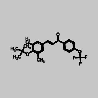 Cc1cc(C=CC(=O)c2ccc(OC(F)(F)F)cc2)cc(C)c1OC(C)(C)C